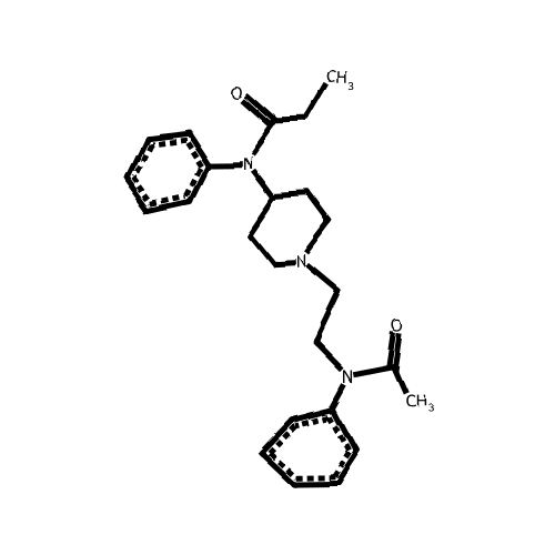 CCC(=O)N(c1ccccc1)C1CCN(CCN(C(C)=O)c2ccccc2)CC1